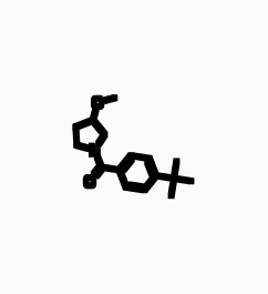 COC1CCN(C(=O)c2ccc(C(C)(C)C)cc2)C1